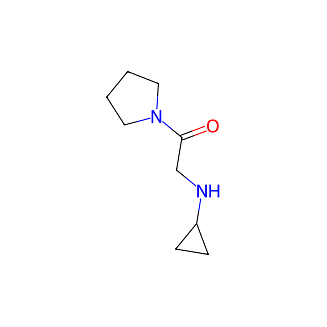 O=C(CNC1CC1)N1CCCC1